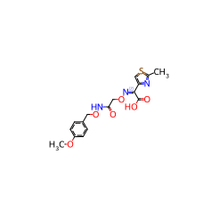 COc1ccc(CONC(=O)CO/N=C(\C(=O)O)c2csc(C)n2)cc1